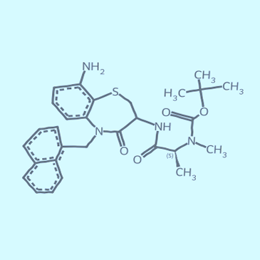 C[C@@H](C(=O)NC1CSc2c(N)cccc2N(Cc2cccc3ccccc23)C1=O)N(C)C(=O)OC(C)(C)C